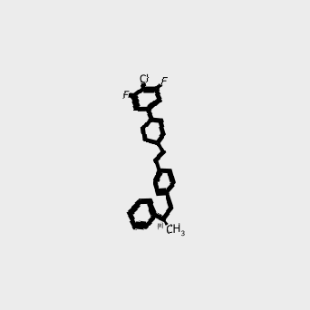 C[C@H](Cc1ccc(CCC2CCC(c3cc(F)c(Cl)c(F)c3)CC2)cc1)c1ccccc1